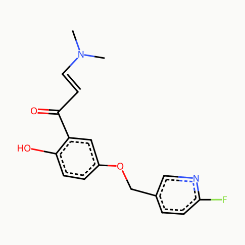 CN(C)C=CC(=O)c1cc(OCc2ccc(F)nc2)ccc1O